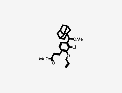 C=CCOc1c(C=CC(=O)OC)ccc(C(OC)C23CC4CC(CC(C4)C2)C3)c1Cl